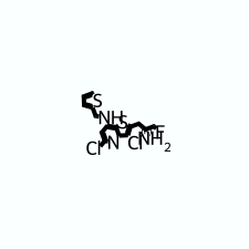 N[C@@H](CF)Cc1sc2c(NCc3cccs3)cc(Cl)nc2c1Cl